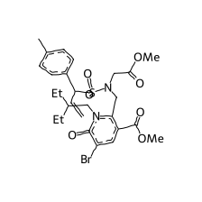 C=CC(c1ccc(C)cc1)S(=O)(=O)N(CC(=O)OC)Cc1c(C(=O)OC)cc(Br)c(=O)n1CC(CC)CC